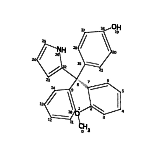 COc1ccccc1[C@@](c1ccccc1)(c1ccc(O)cc1)c1ccc[nH]1